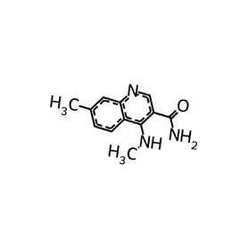 CNc1c(C(N)=O)cnc2cc(C)ccc12